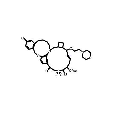 CCC1C(OC)C/C=C/C(OCCN2CCOCC2)C2CCC2CN2CCCCc3cc(Cl)ccc3COc3ccc(cc32)C(=O)CS1(=O)=O